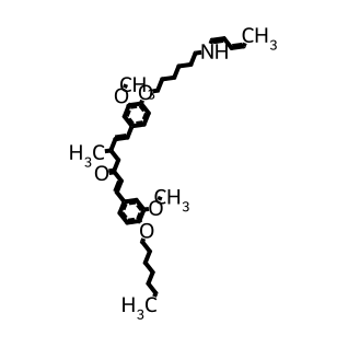 C/C=C\C=C/NCCCCCCOc1ccc(/C=C/C(C)CC(=O)/C=C/c2ccc(OCCCCCCC)c(OC)c2)cc1OC